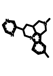 Cc1ccc2c(c1)c1c3n2CC(c2cnccn2)CC3CN(C)C1